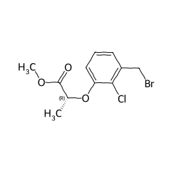 COC(=O)[C@@H](C)Oc1cccc(CBr)c1Cl